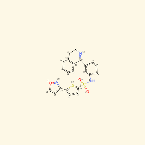 O=S(=O)(Nc1cccc(C2=NCCc3ccccc32)c1)c1ccc(-c2ccon2)s1